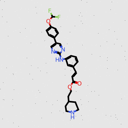 O=C(C=Cc1cccc(Nc2ncc(-c3ccc(OC(F)F)cc3)cn2)c1)OCCC1CCNCC1